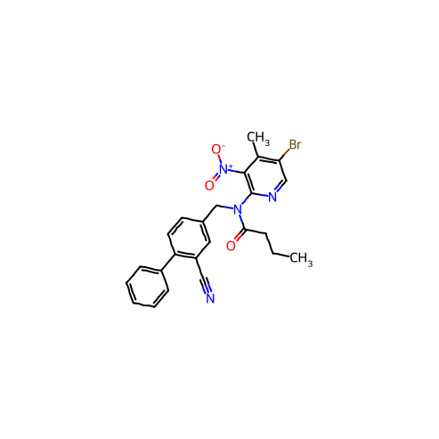 CCCC(=O)N(Cc1ccc(-c2ccccc2)c(C#N)c1)c1ncc(Br)c(C)c1[N+](=O)[O-]